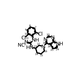 N#C/N=C(/Nc1c(Cl)cccc1Cl)NC1CCCN(c2ncnc3[nH]ccc23)C1